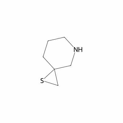 C1CNCC2(C1)CS2